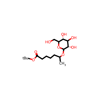 CC(CCCCC(=O)OC(C)(C)C)OC1OC(CO)[C@H](O)C(O)[C@@H]1O